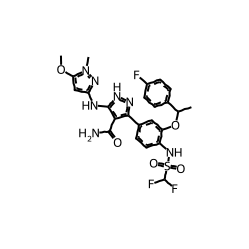 COc1cc(Nc2[nH]nc(-c3ccc(NS(=O)(=O)C(F)F)c(OC(C)c4ccc(F)cc4)c3)c2C(N)=O)nn1C